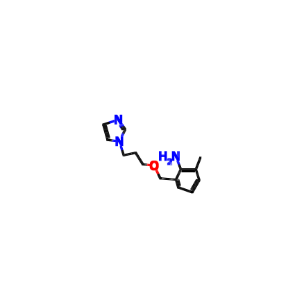 Cc1cccc(COCCCn2ccnc2)c1N